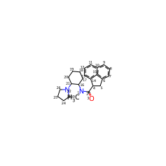 CN(C(=O)C1Cc2cccc3cccc1c23)C1CCCCC1N1CCCC1